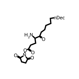 CCCCCCCCCCCCCCCC(=O)C(N)CCC(=O)ON1C(=O)CCC1=O